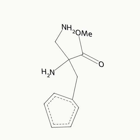 COC(=O)C(N)(CN)Cc1ccccc1